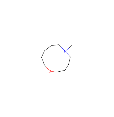 CN1CCCCCOCCCC1